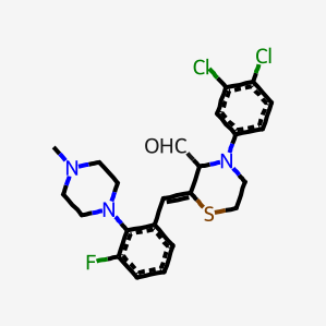 CN1CCN(c2c(F)cccc2C=C2SCCN(c3ccc(Cl)c(Cl)c3)C2C=O)CC1